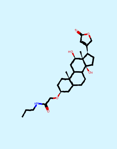 CCCNC(=O)CO[C@H]1CC[C@@]2(C)C(CCC3C2C[C@@H](O)[C@]2(C)[C@@H](C4=CC(=O)OC4)CC[C@]32O)C1